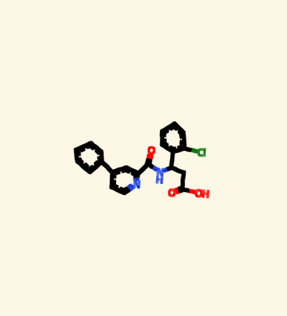 O=C(O)CC(NC(=O)c1cc(-c2ccccc2)ccn1)c1ccccc1Cl